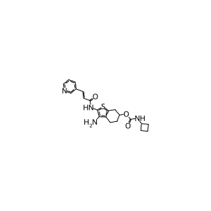 Nc1c(NC(=O)/C=C/c2cccnc2)sc2c1CCC(OC(=O)NC1CCC1)C2